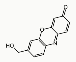 O=c1ccc2nc3ccc(CO)cc3oc-2c1